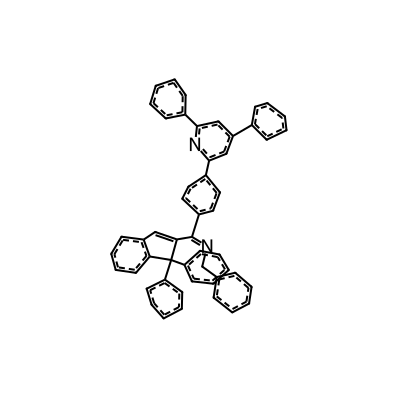 C1=C(/C(=N\Cc2ccccc2)c2ccc(-c3cc(-c4ccccc4)cc(-c4ccccc4)n3)cc2)C(c2ccccc2)(c2ccccc2)c2ccccc21